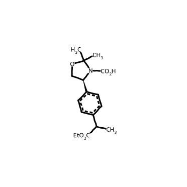 CCOC(=O)C(C)c1ccc([C@H]2COC(C)(C)N2C(=O)O)cc1